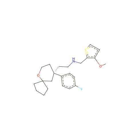 COc1ccsc1CNCC[C@@]1(c2ccc(F)cc2)CCOC2(CCCC2)C1